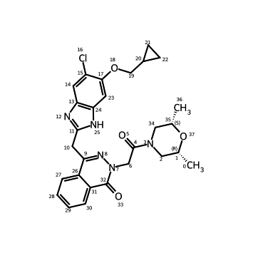 C[C@@H]1CN(C(=O)Cn2nc(Cc3nc4cc(Cl)c(OCC5CC5)cc4[nH]3)c3ccccc3c2=O)C[C@H](C)O1